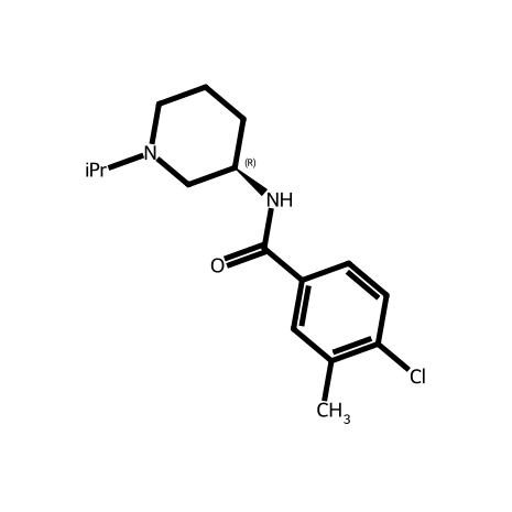 Cc1cc(C(=O)N[C@@H]2CCCN(C(C)C)C2)ccc1Cl